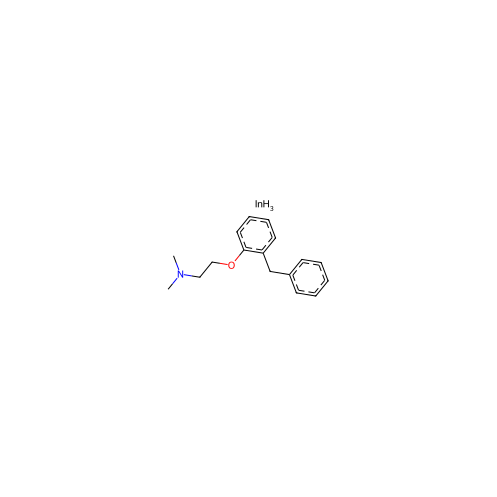 CN(C)CCOc1ccccc1Cc1ccccc1.[InH3]